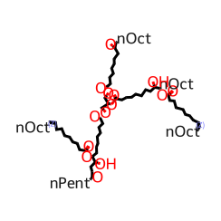 CCCCCCCC/C=C\CCCCCCCC(=O)OC(CCCCCCCC)C(O)CCCCCCCC(=O)OC(COC(=O)CCCCCCCC(OC(=O)CCCCCCC/C=C\CCCCCCCC)C(O)CC1OC1CCCCC)COC(=O)CCCCCCCC1OC1CCCCCCCC